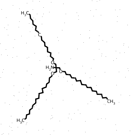 CCCCCCCCCCCCCCCCCCOCC(N)(COCCCCCCCCCCCCCCCCCC)COCCCCCCCCCCCCCCCCCC